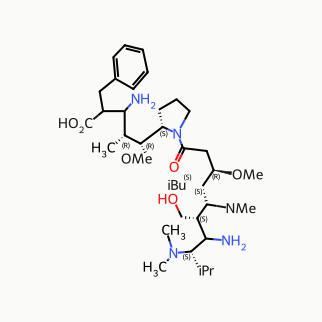 CC[C@H](C)[C@@H](C(NC)[C@@H](CO)C(N)[C@H](C(C)C)N(C)C)[C@@H](CC(=O)N1CCC[C@H]1[C@H](OC)[C@H](C)C(N)C(Cc1ccccc1)C(=O)O)OC